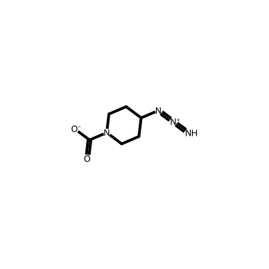 N=[N+]=NC1CCN(C(=O)[O-])CC1